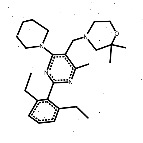 CCc1cccc(CC)c1-c1nc(C)c(CN2CCOC(C)(C)C2)c(N2CCCCC2)n1